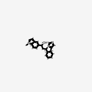 Cn1ccc2cc(C(O)CC3c4ccccc4-c4cncn43)ccc21